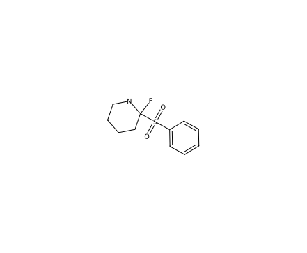 O=S(=O)(c1ccccc1)C1(F)CCCC[N]1